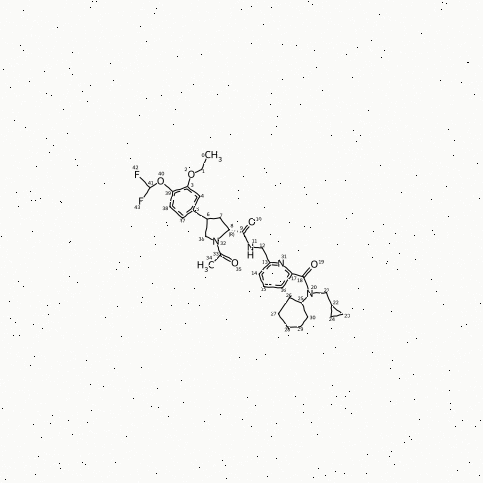 CCOc1cc(C2C[C@H](C(=O)NCc3cccc(C(=O)N(CC4CC4)C4CCCCC4)n3)N(C(C)=O)C2)ccc1OC(F)F